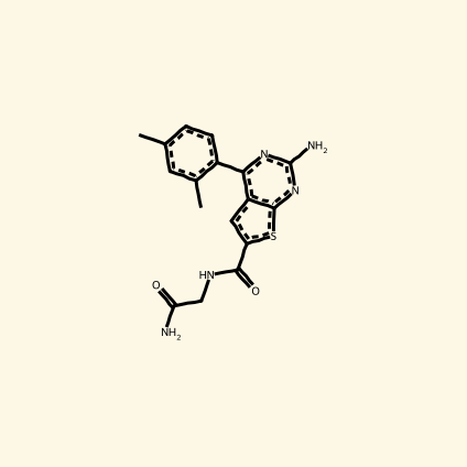 Cc1ccc(-c2nc(N)nc3sc(C(=O)NCC(N)=O)cc23)c(C)c1